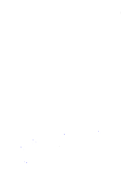 Cn1cc(C(=O)Nc2c[nH]c3ccc(OCCc4ccc(C(F)(F)F)cc4)cc23)nn1